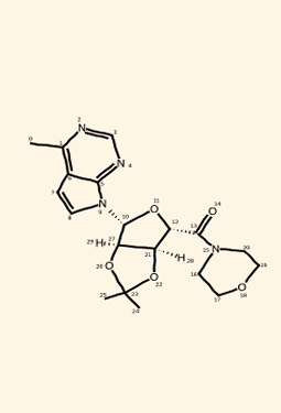 Cc1ncnc2c1ccn2[C@@H]1O[C@H](C(=O)N2CCOCC2)[C@H]2OC(C)(C)O[C@H]21